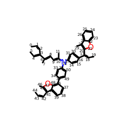 C\C=C/C(=C\C)C(/C)=C/C=C(\C)N(c1ccc(/C(=C/C)c2oc3ccccc3c2C)cc1)c1ccc(-c2cccc3c(/C=C\C)c(C)oc23)cc1